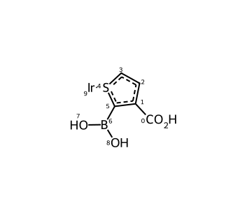 O=C(O)c1ccsc1B(O)O.[Ir]